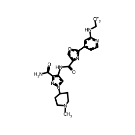 CN1CCC(n2cc(NC(=O)c3coc(-c4ccnc(NCC(F)(F)F)c4)n3)c(C(N)=O)n2)CC1